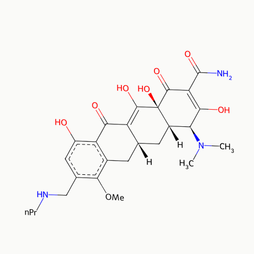 CCCNCc1cc(O)c2c(c1OC)C[C@H]1C[C@H]3[C@H](N(C)C)C(O)=C(C(N)=O)C(=O)[C@@]3(O)C(O)=C1C2=O